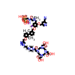 Cc1c(COc2cc(OCc3cncc(C#N)c3)c(CN(C)CC(=O)NCC(S(=O)(=O)O)S(=O)(=O)O)cc2I)cccc1-c1cccc(OCc2cn(CCCN3CCN(C(=O)CN4CCN(CC(=O)O)CCN(CC(=O)O)CCN(CC(=O)O)CC4)CC3)nn2)c1C